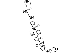 Cc1c(NC(=O)c2ccc(CNCCNC(=O)CCCN)cn2)cccc1-c1cccc(NC(=O)c2ccc(CN3CC4(CCOCC4)C3)cn2)c1Cl